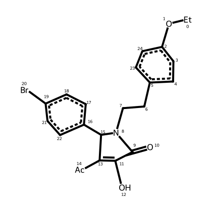 CCOc1ccc(CCN2C(=O)C(O)=C(C(C)=O)C2c2ccc(Br)cc2)cc1